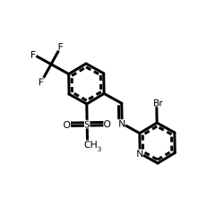 CS(=O)(=O)c1cc(C(F)(F)F)ccc1C=Nc1ncccc1Br